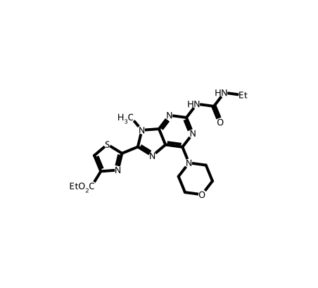 CCNC(=O)Nc1nc(N2CCOCC2)c2nc(-c3nc(C(=O)OCC)cs3)n(C)c2n1